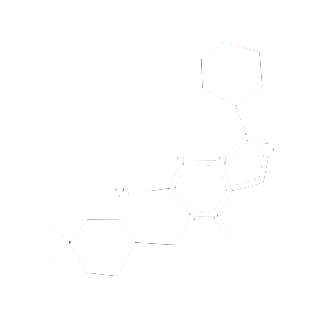 COc1nn2c(C3CCOCC3)ncc2c(=O)n1CC1CCC(F)(F)CC1